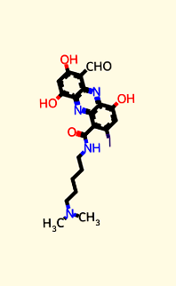 CN(C)CCCCCNC(=O)c1c(I)cc(O)c2nc3c(C=O)c(O)cc(O)c3nc12